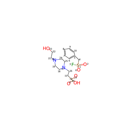 O=S(=O)(F)Cc1ccccc1.O=S(=O)(O)CCN1CCN(CCO)CC1